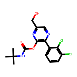 CC(C)(C)NC(=O)Oc1nc(CO)cnc1-c1cccc(Cl)c1Cl